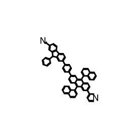 N#Cc1ccc2c(c1)C(c1ccccc1)c1cc(-c3ccc(-c4ccc5c(-c6cccc7ccccc67)c6cc(-c7cccnc7)ccc6c(-c6cccc7ccccc67)c5c4)cc3)ccc1-2